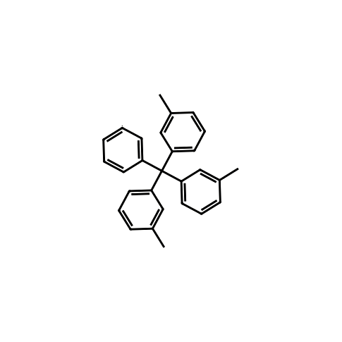 Cc1cccc(C(c2c[c]ccc2)(c2cccc(C)c2)c2cccc(C)c2)c1